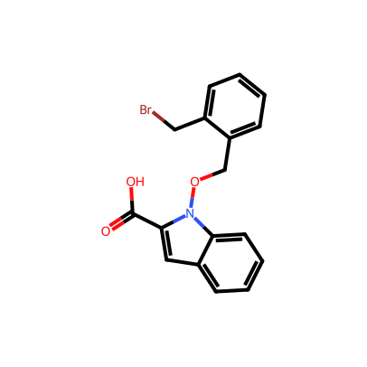 O=C(O)c1cc2ccccc2n1OCc1ccccc1CBr